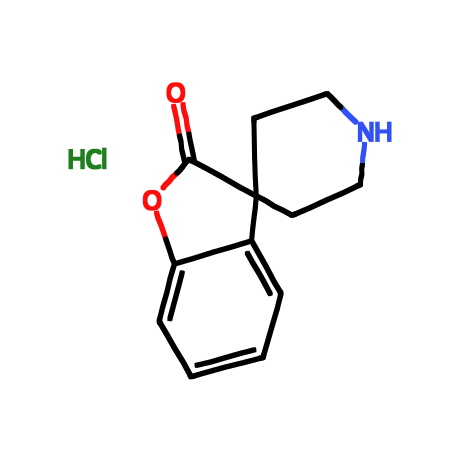 Cl.O=C1Oc2ccccc2C12CCNCC2